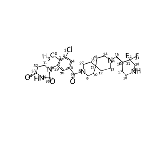 Cc1c(Cl)cc(C(=O)N2CCC3(CCN(C[C@@H]4CCNCC4(F)F)CC3)CC2)cc1N1CCC(=O)NC1=O